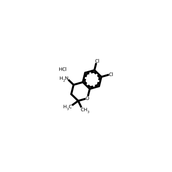 CC1(C)CC(N)c2cc(Cl)c(Cl)cc2O1.Cl